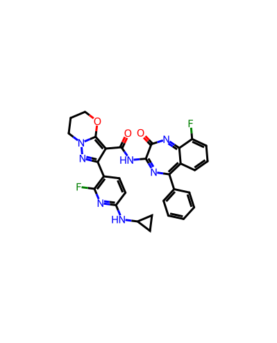 O=C(Nc1nc(-c2ccccc2)c2cccc(F)c2nc1=O)c1c(-c2ccc(NC3CC3)nc2F)nn2c1OCCC2